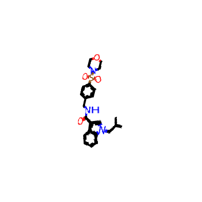 CC(C)Cn1cc(C(=O)NCc2ccc(S(=O)(=O)N3CCOCC3)cc2)c2ccccc21